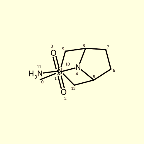 CS(=O)(=O)N1C2CCC1CN(N)C2